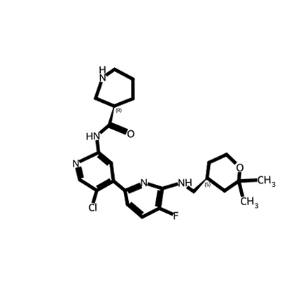 CC1(C)C[C@@H](CNc2nc(-c3cc(NC(=O)[C@@H]4CCCNC4)ncc3Cl)ccc2F)CCO1